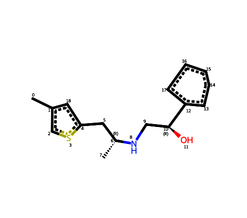 Cc1csc(C[C@@H](C)NC[C@H](O)c2ccccc2)c1